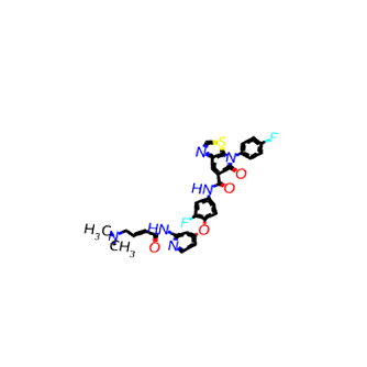 CN(C)C/C=C/C(=O)Nc1cc(Oc2ccc(NC(=O)c3cc4ncsc4n(-c4ccc(F)cc4)c3=O)cc2F)ccn1